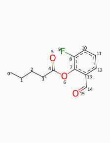 CCC[CH]C(=O)Oc1c(F)cccc1C=O